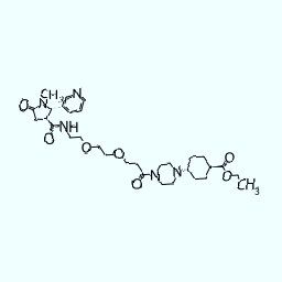 CCOC(=O)[C@H]1CC[C@H](N2CCN(C(=O)CCOCCOCCNC(=O)[C@H]3CC(=O)N(C)[C@@H]3c3cccnc3)CC2)CC1